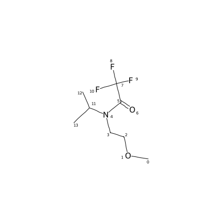 COCCN(C(=O)C(F)(F)F)C(C)C